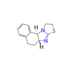 c1ccc2c(c1)CC[C@H]1N=C3SCCN3[C@H]21